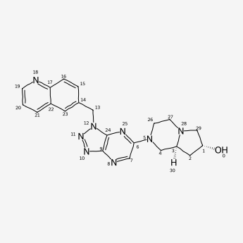 O[C@@H]1C[C@H]2CN(c3cnc4nnn(Cc5ccc6ncccc6c5)c4n3)CCN2C1